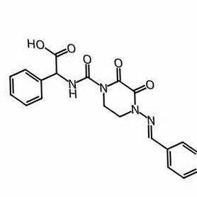 O=C(O)C(NC(=O)N1CCN(/N=C/c2ccccc2)C(=O)C1=O)c1ccccc1